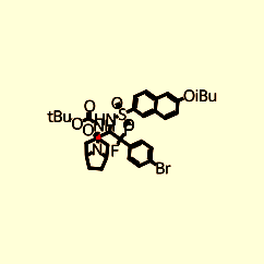 CC(C)COc1ccc2cc(S(=O)(=O)NC(C(=O)N3C4CCC3CC(NC(=O)OC(C)(C)C)C4)C(F)(F)c3ccc(Br)cc3)ccc2c1